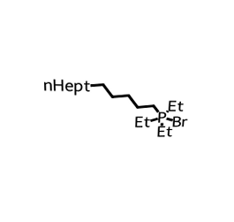 CCCCCCCCCCCCP(Br)(CC)(CC)CC